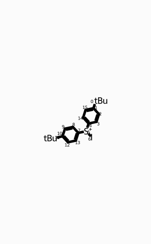 CC(C)(C)c1ccc([S+](I)c2ccc(C(C)(C)C)cc2)cc1